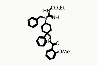 CCOC(=O)NC(=N)N(Cc1ccccc1)C1CCC(CNC(=O)c2ccccc2OC)(c2ccccc2)CC1